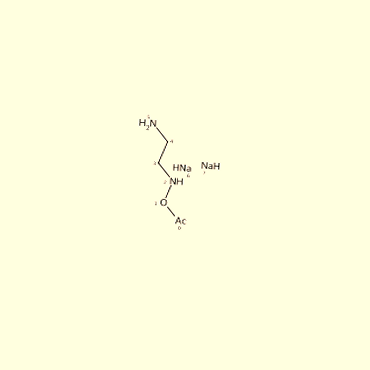 CC(=O)ONCCN.[NaH].[NaH]